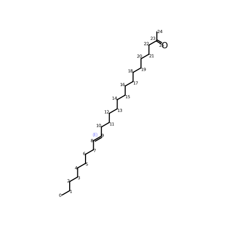 CCCCCCCC/C=C/CCCCCCCCCCCCCC(C)=O